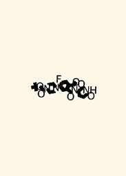 CC(C)(C)OC(=O)N1CCN(c2cc3c(cc2F)C(=O)N(C2CCC(=O)NC2=O)C3=O)CC1